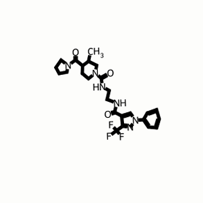 CC1CN(C(=O)NCCNC(=O)c2cn(-c3ccccc3)nc2C(F)(F)F)CCC1C(=O)N1CCCC1